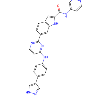 O=C(Nc1ccnnc1)c1cc2ccc(-c3nccc(Nc4ccc(-c5cn[nH]c5)cc4)n3)cc2[nH]1